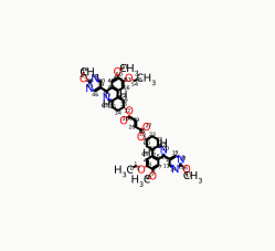 CCOc1cc2c(cc1OC)C(c1cnc(OC)nc1)=N[C@@H]1CC[C@@H](OC(=O)/C=C/C(=O)O[C@@H]3CC[C@H]4N=C(c5cnc(OC)nc5)c5cc(OC)c(OCC)cc5[C@H]4C3)C[C@H]21